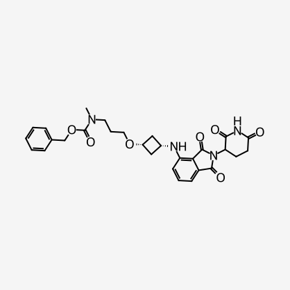 CN(CCCO[C@H]1C[C@@H](Nc2cccc3c2C(=O)N(C2CCC(=O)NC2=O)C3=O)C1)C(=O)OCc1ccccc1